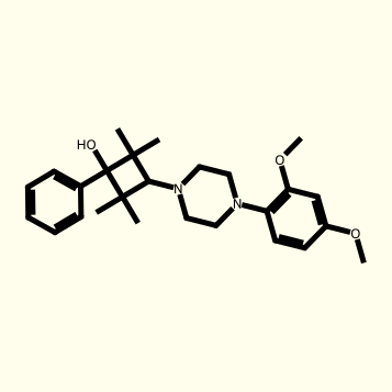 COc1ccc(N2CCN(C3C(C)(C)C(O)(c4ccccc4)C3(C)C)CC2)c(OC)c1